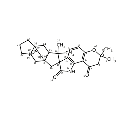 CC1(C)CC(=O)c2c(ccc3c2NC(=O)C32CC34CN5CCCC5(CC3C2(C)C)C(=O)N4)O1